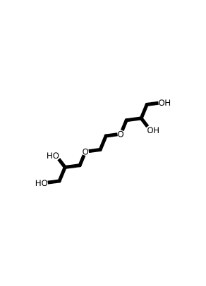 OCC(O)COCCOCC(O)CO